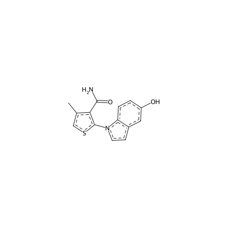 Cc1csc(-n2ccc3cc(O)ccc32)c1C(N)=O